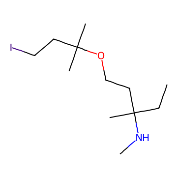 CCC(C)(CCOC(C)(C)CCI)NC